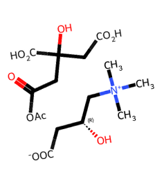 CC(=O)OC(=O)CC(O)(CC(=O)O)C(=O)O.C[N+](C)(C)C[C@H](O)CC(=O)[O-]